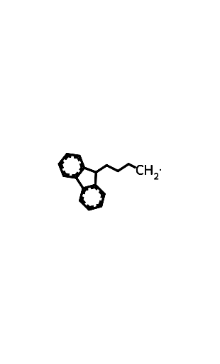 [CH2]CCCC1c2ccccc2-c2ccccc21